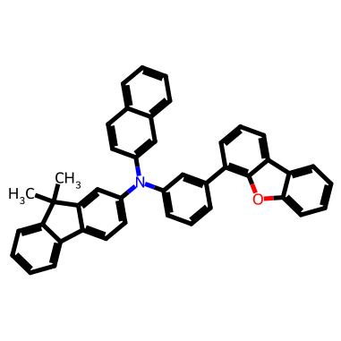 CC1(C)c2ccccc2-c2ccc(N(c3cccc(-c4cccc5c4oc4ccccc45)c3)c3ccc4ccccc4c3)cc21